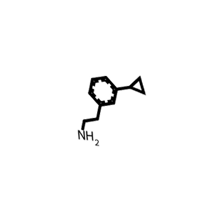 NCCc1cccc(C2CC2)c1